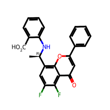 C[C@@H](Nc1ccccc1C(=O)O)c1cc(F)c(F)c2c(=O)cc(-c3ccccc3)oc12